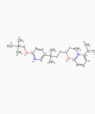 CCC(CCC(C)(C)c1ccc(OCC(C)(C)C)nc1)Oc1cccc(C(C)C)n1